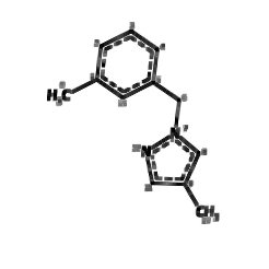 Cc1cccc(Cn2cc(C)cn2)c1